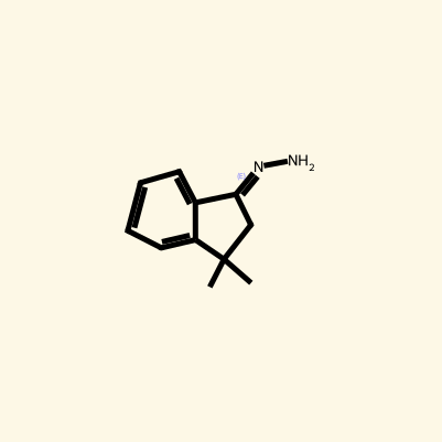 CC1(C)C/C(=N\N)c2ccccc21